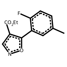 CCOC(=O)c1cnoc1-c1cc(C)ccc1F